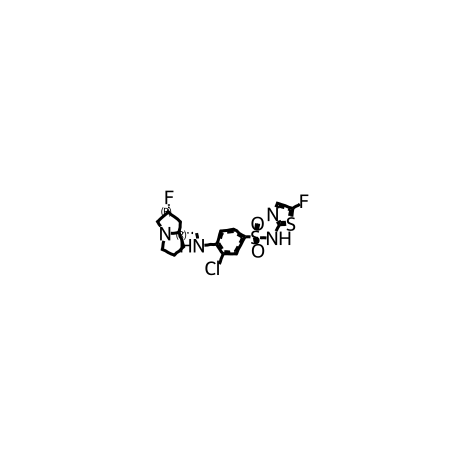 O=S(=O)(Nc1ncc(F)s1)c1ccc(NC[C@]23CCCN2C[C@H](F)C3)c(Cl)c1